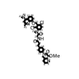 COCC(=O)N(Cc1cccnc1)c1ccc(C=CC(=O)NCC(=O)N(C)c2ccc(Cl)c(COc3cccc4c(N(C)C)cc(C)nc34)c2Cl)cc1